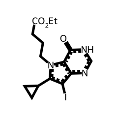 CCOC(=O)CCCn1c(C2CC2)c(I)c2nc[nH]c(=O)c21